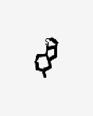 Cc1cccc2c3sccc3cc-2c1